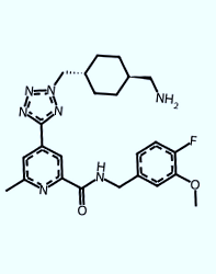 COc1cc(CNC(=O)c2cc(-c3nnn(C[C@H]4CC[C@H](CN)CC4)n3)cc(C)n2)ccc1F